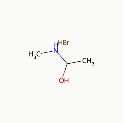 Br.CNC(C)O